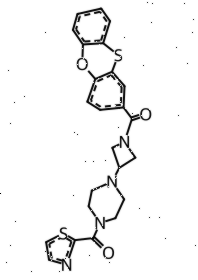 O=C(c1ccc2c(c1)Sc1ccccc1O2)N1CC(N2CCN(C(=O)c3nccs3)CC2)C1